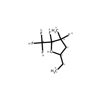 CCC1CC(C)(F)C(F)(C(F)(F)F)O1